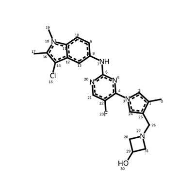 Cc1cn(-c2nc(Nc3ccc4c(c3)c(Cl)c(C)n4C)ncc2F)cc1CN1CC(O)C1